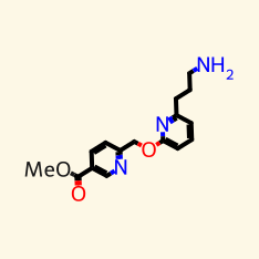 COC(=O)c1ccc(COc2cccc(CCCN)n2)nc1